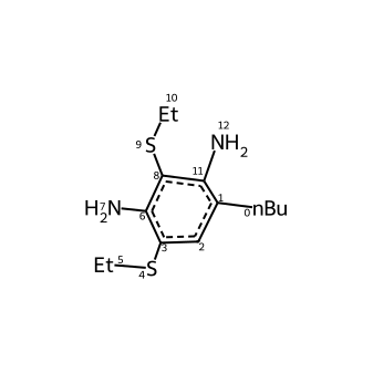 CCCCc1cc(SCC)c(N)c(SCC)c1N